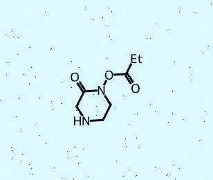 CCC(=O)ON1CCNCC1=O